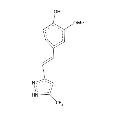 COc1cc(C=Cc2cc(C(F)(F)F)[nH]n2)ccc1O